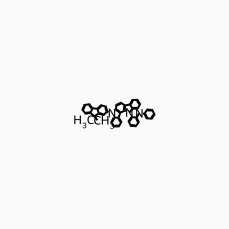 CC1(C)c2ccccc2-c2ccc(-n3c4ccccc4c4c3ccc3c5cccc6c5n(c34)-c3ccccc3N6c3ccccc3)cc21